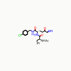 CC(=O)N[C@@H](CC(C)C)C(=O)N[C@@H](CCC(=O)C=N)C(=O)NCc1ccc(Cl)cc1